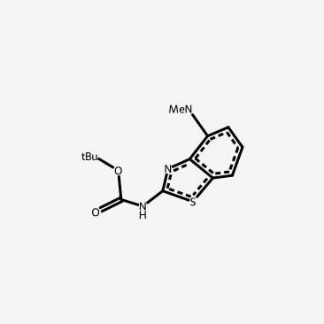 CNc1cccc2sc(NC(=O)OC(C)(C)C)nc12